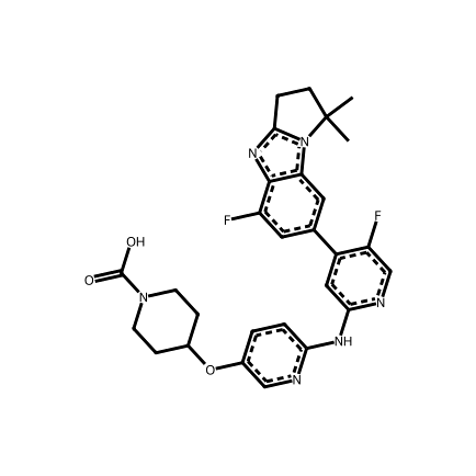 CC1(C)CCc2nc3c(F)cc(-c4cc(Nc5ccc(OC6CCN(C(=O)O)CC6)cn5)ncc4F)cc3n21